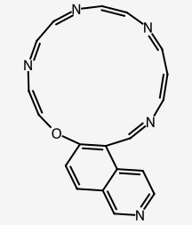 c1cnccnccnccoc2ccc3cnccc3c2cnc1